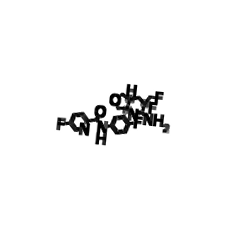 NC1=N[C@@]2(c3cc(NC(=O)c4ccc(F)cn4)ccc3F)COC[C@H]2C[C@@]1(F)CF